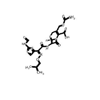 CC(C)CON=C(C(=O)NC1C(=O)N2C(C(=O)O)=C(COC(N)=O)CS[C@@H]12)c1csc(NC=O)n1